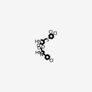 O=C(Oc1cc(CSc2ccc(Cl)c(Cl)c2)c[nH]c1=O)c1cc(-c2ccc(Cl)cc2)n[nH]1